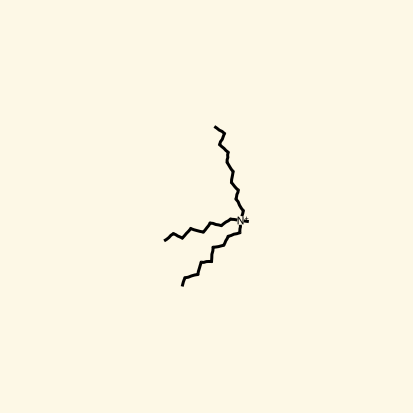 CCCCCCCCCC[N+](C)(CCCCCCCC)CCCCCCCCC